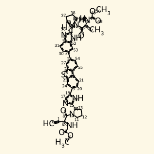 C#C[C@H](NC(=O)OC)C(=O)N1CCC[C@H]1c1ncc(-c2ccc3c(c2)sc2cc(-c4ccc5nc([C@@H]6[C@H]7CC[C@H](C7)N6C(=O)[C@H](C)NC(=O)OC)[nH]c5c4)ccc23)[nH]1